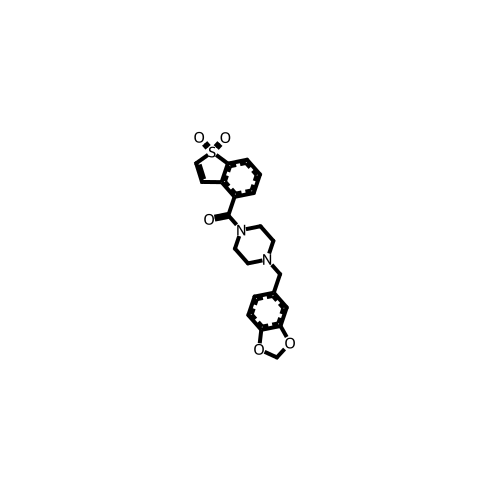 O=C(c1cccc2c1C=CS2(=O)=O)N1CCN(Cc2ccc3c(c2)OCO3)CC1